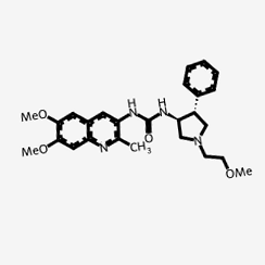 COCCN1C[C@@H](NC(=O)Nc2cc3cc(OC)c(OC)cc3nc2C)[C@H](c2ccccc2)C1